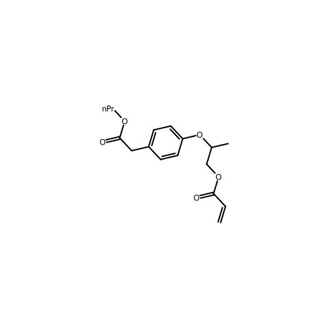 C=CC(=O)OCC(C)Oc1ccc(CC(=O)OCCC)cc1